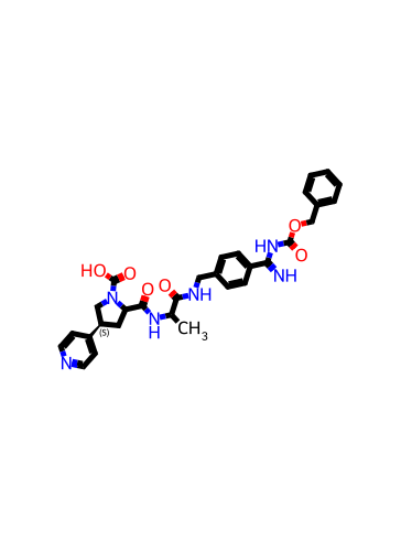 CC(NC(=O)C1C[C@@H](c2ccncc2)CN1C(=O)O)C(=O)NCc1ccc(C(=N)NC(=O)OCc2ccccc2)cc1